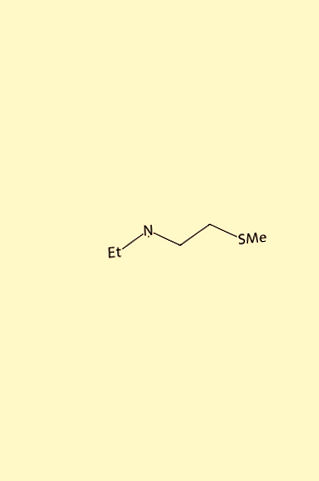 CC[N]CCSC